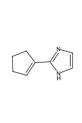 C1=C(c2ncc[nH]2)CCC1